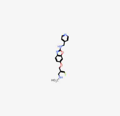 O=C(O)NCC(=CF)COc1ccc2nc(NCc3ccncc3)oc2c1